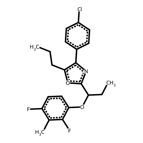 CCCc1oc(C(CC)Oc2ccc(F)c(C)c2F)nc1-c1ccc(Cl)cc1